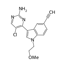 C#Cc1ccc2c(c1)c(-c1nc(N)ncc1Cl)cn2CCOC